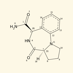 NC(=O)[C@@H]1NC(=O)[C@@H]2CCCN2c2ccccc21